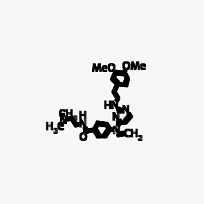 C=CN(c1ccc(C(=O)NCCN(C)C)cc1)c1ccnc(NCCc2ccc(OC)c(OC)c2)n1